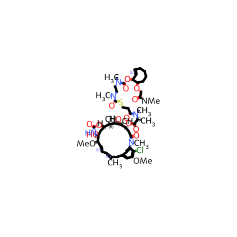 CNC(=O)COC1CCCC/C=C/C1OC(=O)N(C)CCN(C)C(=O)SCCC(=O)N(C)[C@@H](C)C(=O)O[C@H]1CC(=O)N(C)c2cc(cc(OC)c2Cl)C/C(C)=C/C=C/[C@@H](OC)[C@@]2(O)C[C@H](OC(=O)N2)[C@@H](C)[C@@H]2O[C@@]12C